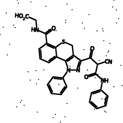 N#CC(C(=O)Nc1ccccc1)C(=O)c1nn(-c2ccccc2)c2c1CSc1c(C(=O)NCC(=O)O)cccc1-2